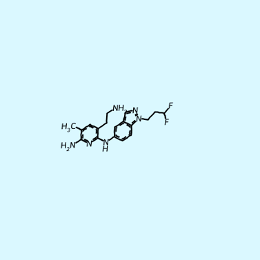 Cc1cc(CCN)c(Nc2ccc3c(cnn3CCC(F)F)c2)nc1N